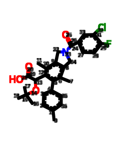 Cc1ccc(-c2c(C)c3c(c(C)c2C(OC(C)(C)C)C(=O)O)CN(C(=O)c2ccc(F)c(Cl)c2)C3)cc1